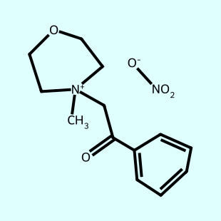 C[N+]1(CC(=O)c2ccccc2)CCOCC1.O=[N+]([O-])[O-]